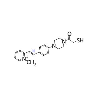 C[n+]1ccccc1/C=C/c1ccc(N2CCN(C(=O)CS)CC2)cc1